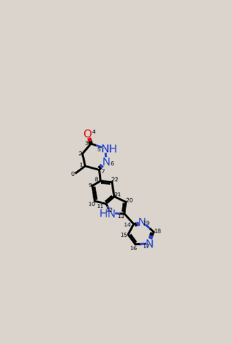 CC1CC(=O)NN=C1c1ccc2[nH]c(-c3ccncn3)cc2c1